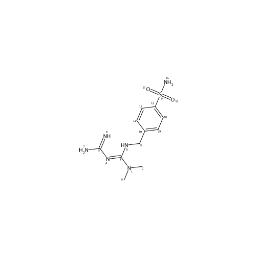 CN(C)/C(=N/C(=N)N)NCc1ccc(S(N)(=O)=O)cc1